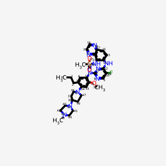 CCCc1cc(Nc2ncc(F)c(Nc3ccc4nccnc4c3NS(C)(=O)=O)n2)c(OC)cc1N1CCC(N2CCN(C)CC2)CC1